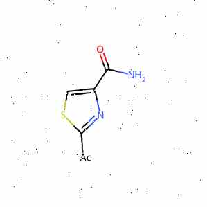 CC(=O)c1nc(C(N)=O)cs1